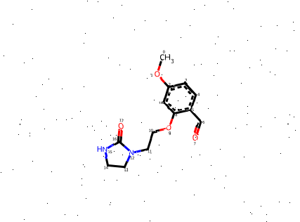 COc1ccc(C=O)c(OCCN2CCNC2=O)c1